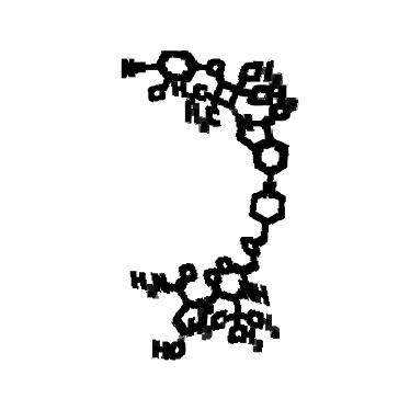 CC(C)(C)[C@H](NC(=O)COCC1CCN(c2ccc3c(c2)CN([C@H]2C(C)(C)[C@H](Oc4ccc(C#N)c(Cl)c4)C2(C)C)C3=O)CC1)C(=O)N1C[C@H](O)C[C@H]1C(N)=O